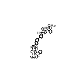 COC(=O)N[C@@H](C(=O)N1CCC[C@H]1c1ncc(-c2ccc3cc(-c4ccc5nc([C@@H]6CCCN6C(=O)[C@H](NC(=O)OC)C6=CCC=CC6)[nH]c5c4)ccc3c2)[nH]1)C1=CCC=CC1